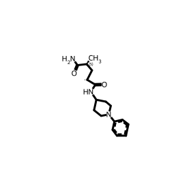 C[C@@H](C[CH]C(=O)NC1CCN(c2ccccc2)CC1)C(N)=O